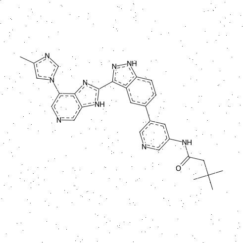 Cc1cn(-c2cncc3[nH]c(-c4n[nH]c5ccc(-c6cncc(NC(=O)CC(C)(C)C)c6)cc45)nc23)cn1